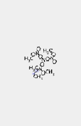 C/C=C\C=C(/C)N(c1ccc(N(c2ccc(N(c3ccccc3)c3cccc(C)c3)cc2)c2ccc(N(c3ccccc3)c3cccc(C)c3)cc2)cc1)c1cccc(C)c1